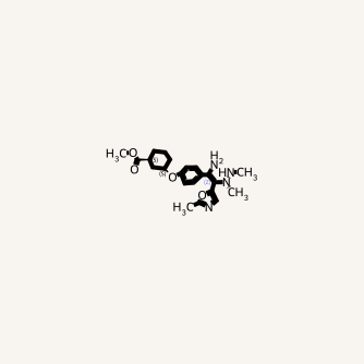 CNN(C)/C(=C(\N)c1ccc(O[C@H]2CCC[C@H](C(=O)OC)C2)cc1)c1cnc(C)o1